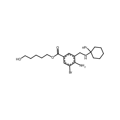 CCCC1(NCc2cc(C(=O)OCCCCCO)cc(Br)c2N)CCCCC1